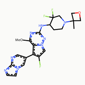 COc1nc(NC2CCN(C3(C)COC3)CC2(F)F)nn2cc(F)c(-c3cnc4nccn4c3)c12